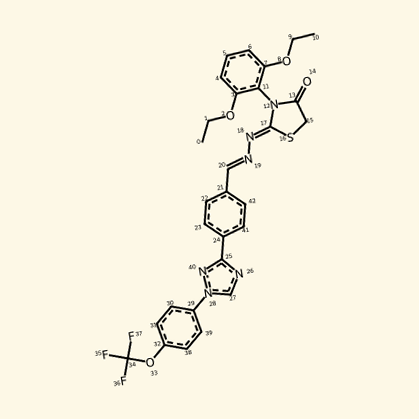 CCOc1cccc(OCC)c1N1C(=O)CS/C1=N\N=C\c1ccc(-c2ncn(-c3ccc(OC(F)(F)F)cc3)n2)cc1